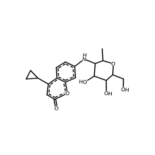 CC1OC(CO)C(O)C(O)C1Nc1ccc2c(C3CC3)cc(=O)oc2c1